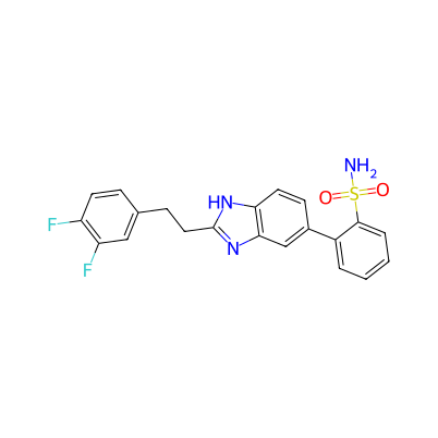 NS(=O)(=O)c1ccccc1-c1ccc2[nH]c(CCc3ccc(F)c(F)c3)nc2c1